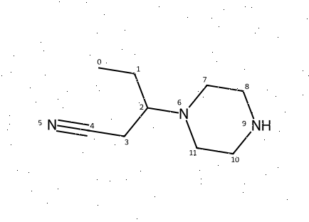 CCC(CC#N)N1CCNCC1